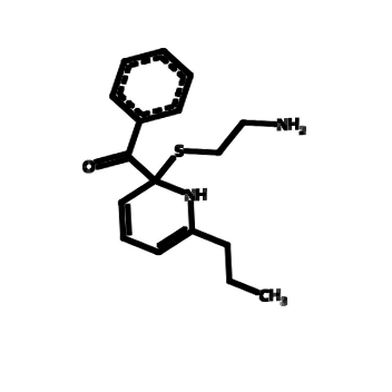 CCCC1=CC=CC(SCCN)(C(=O)c2ccccc2)N1